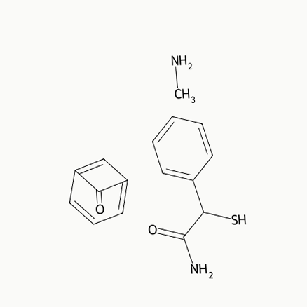 CN.NC(=O)C(S)c1ccccc1.O=C1c2cccc1c2